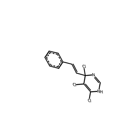 ClC1=C(Cl)C(Cl)(/C=C/c2ccccc2)N=CN1